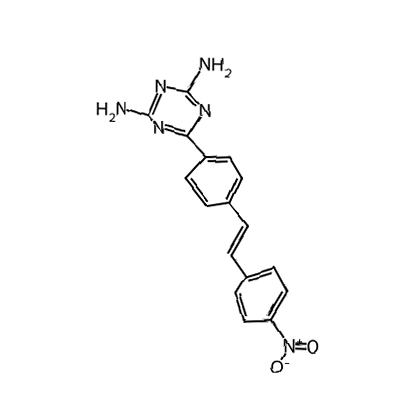 Nc1nc(N)nc(-c2ccc(C=Cc3ccc([N+](=O)[O-])cc3)cc2)n1